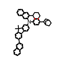 CC1(C)c2ccc(-c3ccc4ccccc4c3)cc2-c2ccc(N(c3ccc(C4CC5CCC4C5)cc3)c3cc4ccccc4cc3C3CCCCC3)cc21